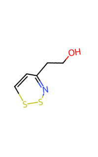 OCCC1=NSSC=C1